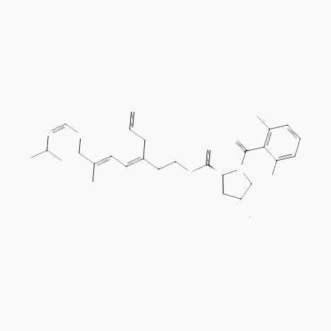 C=CC/C(=C\C=C(/C)CS/C=N\C(C)C)CCNC(=O)[C@@H]1C[C@@H](O)CN1C(=O)c1c(C)cccc1Cl